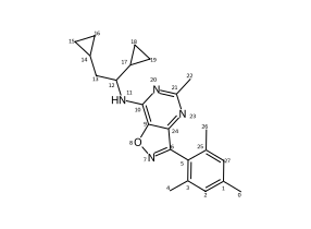 Cc1cc(C)c(-c2noc3c(NC(CC4CC4)C4CC4)nc(C)nc23)c(C)c1